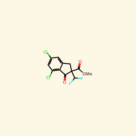 COC(=O)C1(C(F)F)Cc2cc(Cl)cc(Cl)c2C1=O